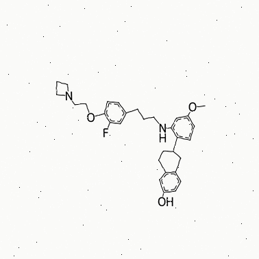 COc1ccc(C2CCc3cc(O)ccc3C2)c(NCCCc2ccc(OCCN3CCC3)c(F)c2)c1